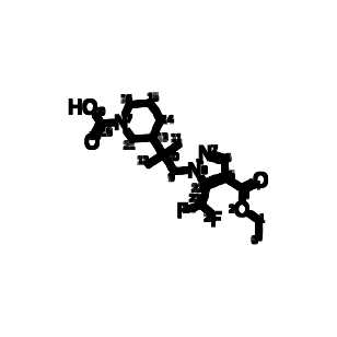 CCOC(=O)c1cnn(CC(C)(C)C2CCCN(C(=O)O)C2)c1C(F)F